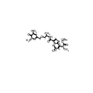 CC(COCc1cc(N)c(=O)n(C)n1)NC(=O)c1cnc2c(N(C)C(=O)OC(C)(C)C)cc(Cl)nn12